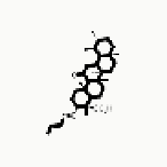 C/C=C/OO[C@@H]1CC[C@@]2(C)C(CC[C@]3(C)C2C(=O)C=C2C4[C@@H](C)[C@H](C)CC[C@]4(C)CC[C@]23C)[C@@]1(C)C(=O)O